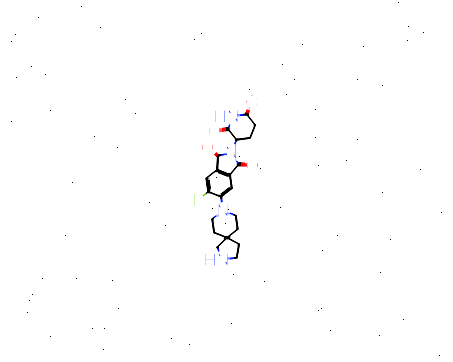 O=C1CCC(N2C(=O)c3cc(F)c(N4CCC5(CCNC5)CC4)cc3C2=O)C(=O)N1